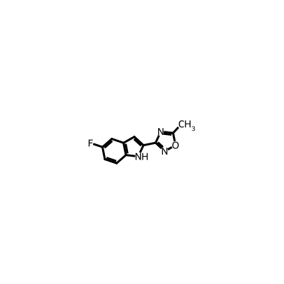 Cc1nc(-c2cc3cc(F)ccc3[nH]2)no1